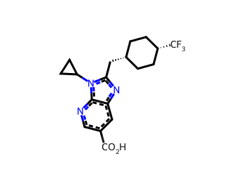 O=C(O)c1cnc2c(c1)nc(C[C@H]1CC[C@@H](C(F)(F)F)CC1)n2C1CC1